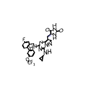 O=C1NC(=O)/C(=C/c2cnn3c(NC4CC4)nc(NCc4cc(F)ccc4-c4cccc(OC(F)(F)F)c4)nc23)N1